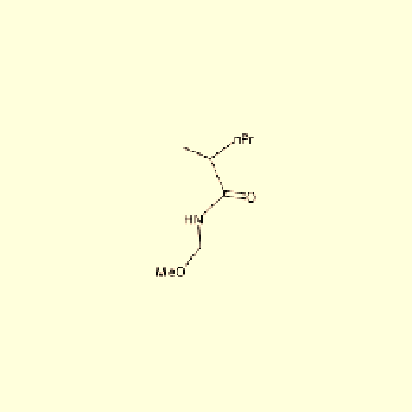 CCCC(C)C(=O)NCOC